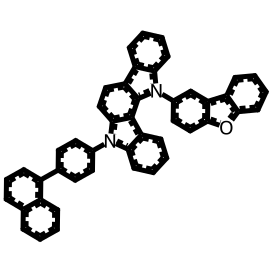 c1ccc2c(-c3ccc(-n4c5ccccc5c5c4ccc4c6ccccc6n(-c6ccc7oc8ccccc8c7c6)c45)cc3)cccc2c1